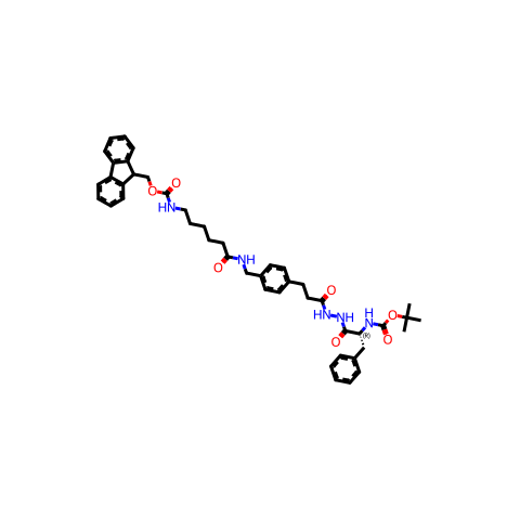 CC(C)(C)OC(=O)N[C@H](Cc1ccccc1)C(=O)NNC(=O)CCc1ccc(CNC(=O)CCCCCNC(=O)OCC2c3ccccc3-c3ccccc32)cc1